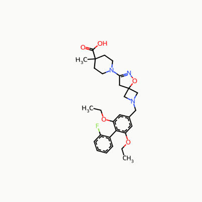 CCOc1cc(CN2CC3(CC(N4CCC(C)(C(=O)O)CC4)=NO3)C2)cc(OCC)c1-c1ccccc1F